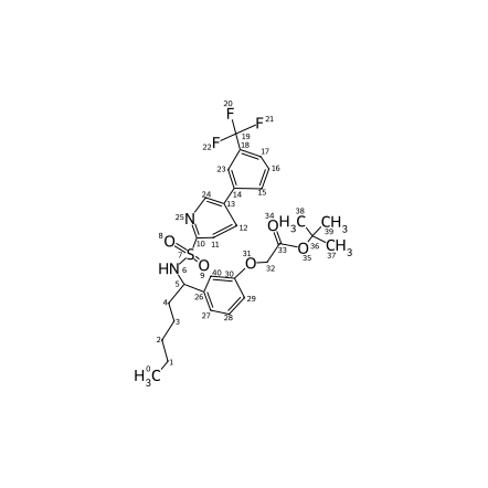 CCCCCC(NS(=O)(=O)c1ccc(-c2cccc(C(F)(F)F)c2)cn1)c1cccc(OCC(=O)OC(C)(C)C)c1